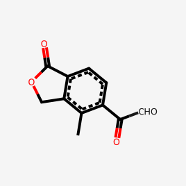 Cc1c(C(=O)C=O)ccc2c1COC2=O